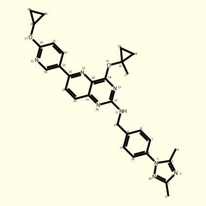 Cc1nc(C)n(-c2ccc(CNc3nc(OC4(C)CC4)c4nc(-c5ccc(OC6CC6)nc5)ccc4n3)cc2)n1